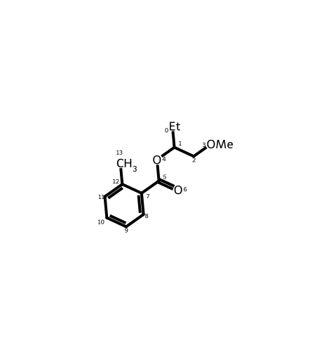 CCC(COC)OC(=O)c1ccccc1C